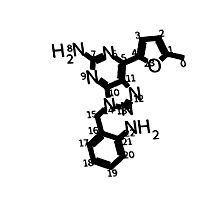 Cc1ccc(-c2nc(N)nc3c2nnn3Cc2ccccc2N)o1